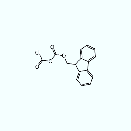 O=C(Cl)OC(=O)OCC1c2ccccc2-c2ccccc21